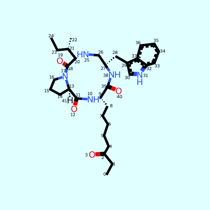 CCC(=O)CCCCC[C@@H]1NC(=O)[C@H]2CCCN2C(=O)[C@H]([C@@H](C)CC)NC[C@H](Cc2c[nH]c3ccccc23)NC1=O